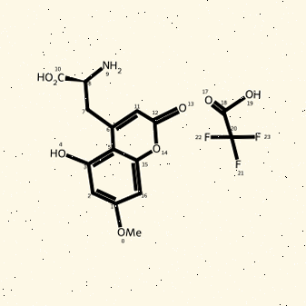 COc1cc(O)c2c(C[C@H](N)C(=O)O)cc(=O)oc2c1.O=C(O)C(F)(F)F